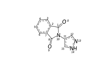 O=C1c2ccccc2C(=O)N1c1cn[nH]c1